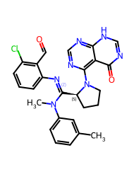 Cc1cccc(N(C)/C(=N\c2cccc(Cl)c2C=O)[C@@H]2CCCN2c2ncnc3[nH]cnc(=O)c23)c1